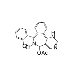 CC(=O)OC1C2=CN=CNC2=c2ccccc2=C(c2ccccc2Cl)N1Cl